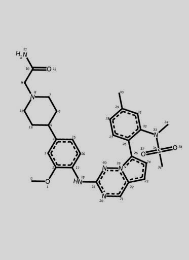 COc1cc(C2CCN(CC(N)=O)CC2)ccc1Nc1ncc2ccc(-c3ccc(C)cc3N(C)S(C)(=O)=O)n2n1